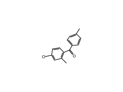 Cc1ccc(C(=O)c2ccc(Cl)cc2C)cc1